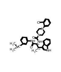 C[C@@H](c1c[nH]c2ccccc12)[C@@H](NC(=O)N1CCN(c2ccccc2Cl)CC1)C(=O)Nc1cccc(CN(C)C)c1